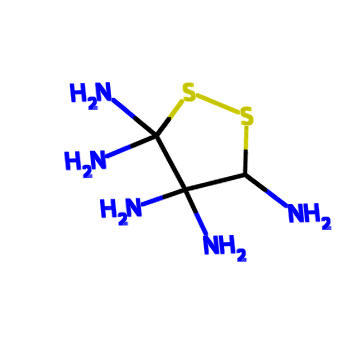 NC1SSC(N)(N)C1(N)N